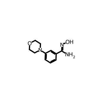 N/C(=N\O)c1cccc(N2CCOCC2)c1